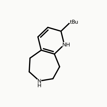 CC(C)(C)C1C=CC2=C(CCNCC2)N1